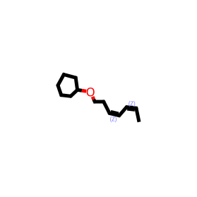 C/C=C\C=C/CCOC1CCCCC1